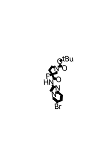 CC(C)(C)OC(=O)N1CCC(F)(C(=O)Nc2cn3cc(Br)ccc3n2)C1